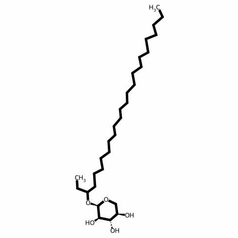 CCCCCCCCCCCCCCCCCCCCCCC(CC)O[C@H]1OC[C@@H](O)[C@H](O)[C@H]1O